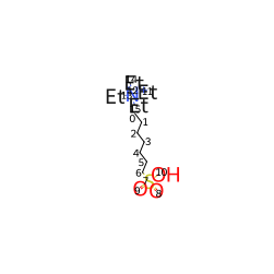 CCCCCCCS(=O)(=O)O.CC[N+](CC)(CC)CC